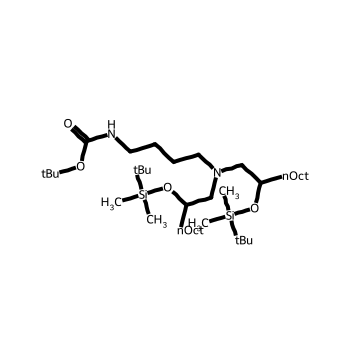 CCCCCCCCC(CN(CCCCNC(=O)OC(C)(C)C)CC(CCCCCCCC)O[Si](C)(C)C(C)(C)C)O[Si](C)(C)C(C)(C)C